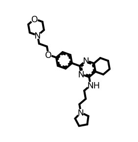 c1cc(-c2nc3c(c(NCCCN4CCCC4)n2)CCCC3)ccc1OCCN1CCOCC1